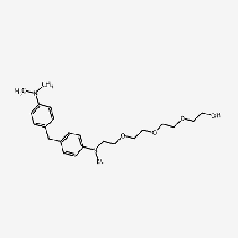 CCN(CCOCCOCCOCCO)c1ccc(Cc2ccc(N(C)C)cc2)cc1